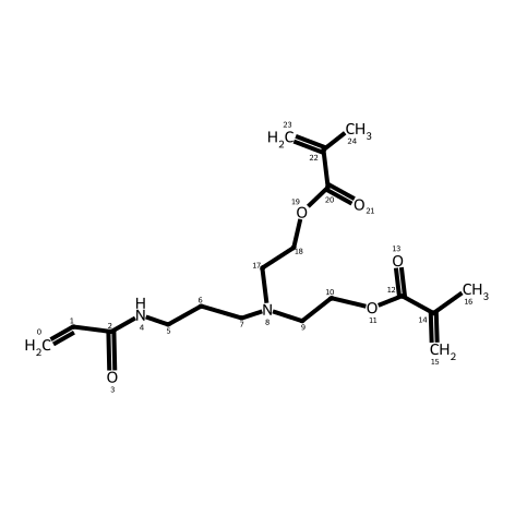 C=CC(=O)NCCCN(CCOC(=O)C(=C)C)CCOC(=O)C(=C)C